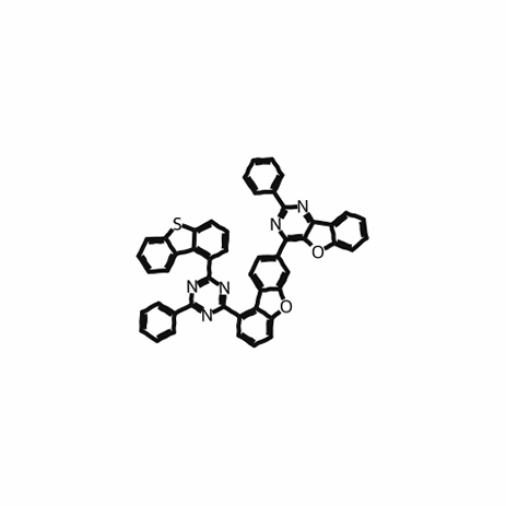 c1ccc(-c2nc(-c3cccc4oc5cc(-c6nc(-c7ccccc7)nc7c6oc6ccccc67)ccc5c34)nc(-c3cccc4sc5ccccc5c34)n2)cc1